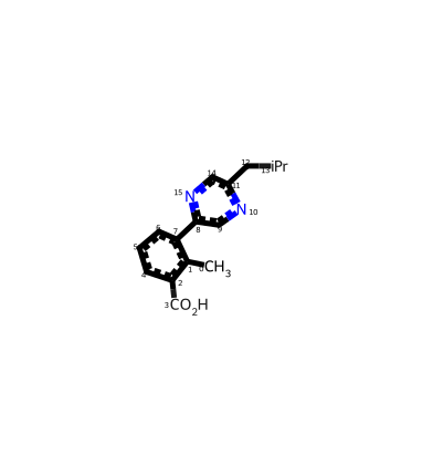 Cc1c(C(=O)O)cccc1-c1cnc(CC(C)C)cn1